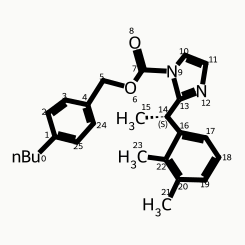 CCCCc1ccc(COC(=O)n2ccnc2[C@@H](C)c2cccc(C)c2C)cc1